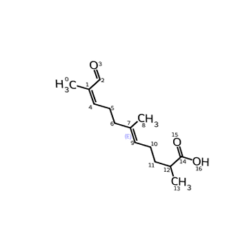 CC(C=O)=CCC/C(C)=C/CCC(C)C(=O)O